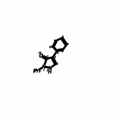 CC(C)n1[nH]cc(-c2ccccc2)c1=O